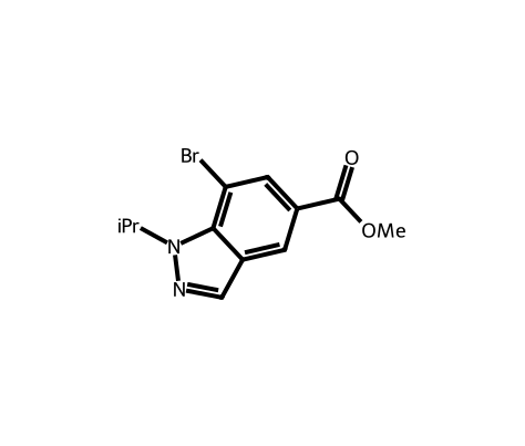 COC(=O)c1cc(Br)c2c(cnn2C(C)C)c1